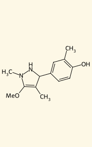 COC1=C(C)C(c2ccc(O)c(C)c2)NN1C